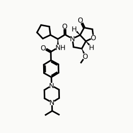 CO[C@H]1CN(C(=O)[C@@H](NC(=O)c2ccc(N3CCN(C(C)C)CC3)cc2)C2CCCC2)[C@@H]2C(=O)CO[C@H]12